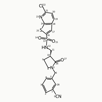 N#Cc1cccc(CN2CC[C@@H](CNS(=O)(=O)c3cc4ccc(Cl)nc4s3)C2=O)c1